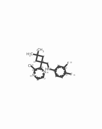 CC1(C)CC(CNc2ccc(F)c(F)c2)(c2nccnc2Cl)C1